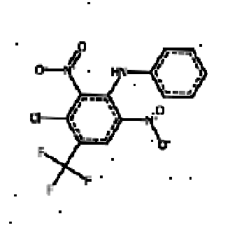 O=[N+]([O-])c1cc(C(F)(F)F)c(Cl)c([N+](=O)[O-])c1Nc1ccccc1